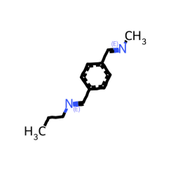 CCC/N=C/c1ccc(/C=N/C)cc1